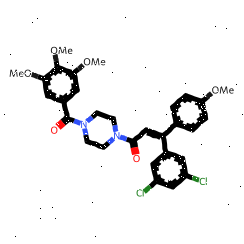 COc1ccc(C(=CC(=O)N2CCN(C(=O)c3cc(OC)c(OC)c(OC)c3)CC2)c2cc(Cl)cc(Cl)c2)cc1